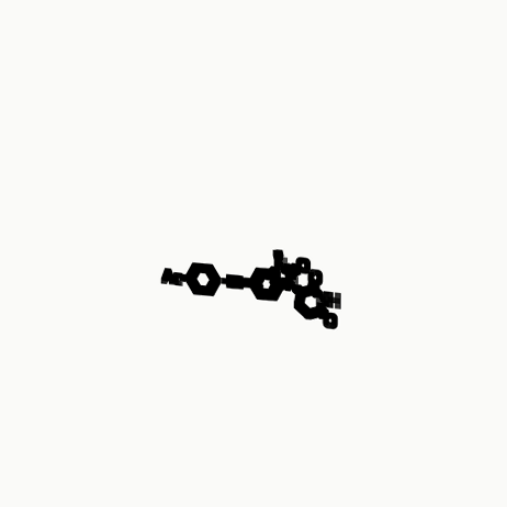 CC(=O)[C@H]1CC[C@H](C#Cc2ccc3c(c2)n(C)c(=O)n3C2CCC(=O)NC2=O)CC1